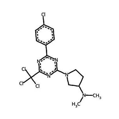 CN(C)C1CCN(c2nc(-c3ccc(Cl)cc3)nc(C(Cl)(Cl)Cl)n2)C1